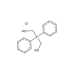 OC[P+](CO)(c1ccccc1)c1ccccc1.[Cl-]